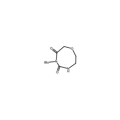 CC(C)(C)N1C(=O)COCCNC1=O